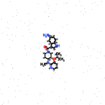 CC(C)Oc1cccnc1N(C)C1CCN(C(=O)c2c[nH]c3ccc(N)cc23)CC1